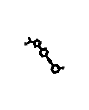 CC(Br)c1nc(-c2ccc(C#Cc3cccc(F)c3)cn2)no1